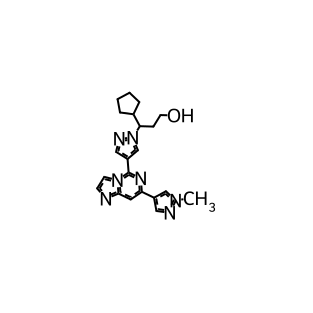 Cn1cc(-c2cc3nccn3c(-c3cnn(C(CCO)C4CCCC4)c3)n2)cn1